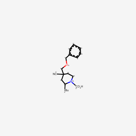 CC(C)(C)C1CC(C#N)(COCc2ccccc2)CCN1C(=O)O